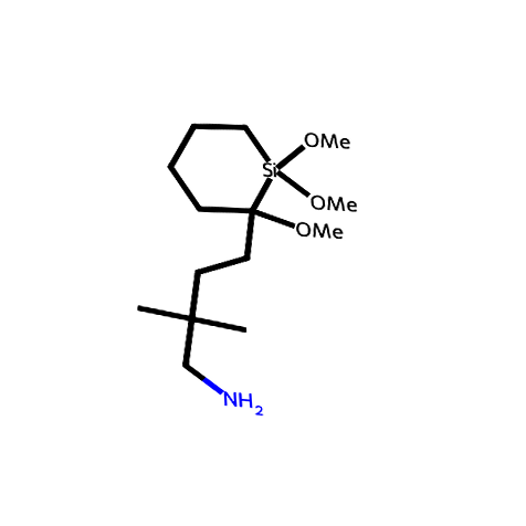 COC1(CCC(C)(C)CN)CCCC[Si]1(OC)OC